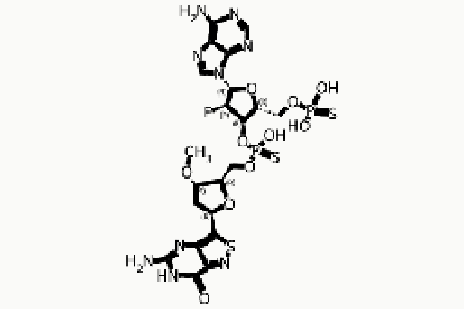 CO[C@H]1C[C@H](c2snc3c(=O)[nH]c(N)nc23)O[C@@H]1COP(O)(=S)O[C@H]1[C@@H](F)[C@H](n2cnc3c(N)ncnc32)O[C@@H]1COP(O)(O)=S